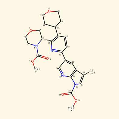 CC(C)(C)OC(=O)N1CCOC[C@@H]1c1nc(-c2cnc3c(c2)c(C(F)(F)F)cn3C(=O)OC(C)(C)C)ccc1C1CCOCC1